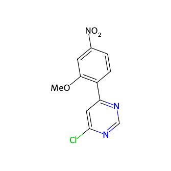 COc1cc([N+](=O)[O-])ccc1-c1cc(Cl)ncn1